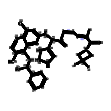 C=C(/C=C\C=C(/C)C(=O)N1CC(F)(F)C1)[C@H](Nc1cc(Cl)c2ncc(C#N)c(N[C@H](CC)c3ccccc3)c2c1)C1=CNNN1